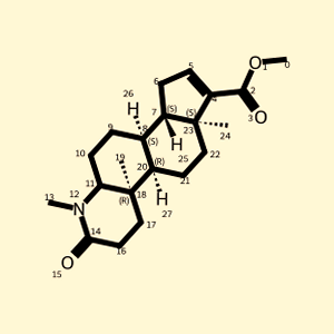 COC(=O)C1=CC[C@H]2[C@@H]3CCC4N(C)C(=O)CC[C@]4(C)[C@@H]3CC[C@]12C